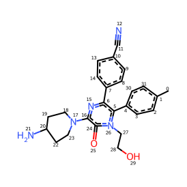 Cc1ccc(-c2c(-c3ccc(C#N)cc3)nc(N3CCC(N)CC3)c(=O)n2CCO)cc1